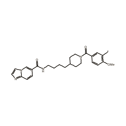 COc1ccc(C(=O)N2CCC(CCCCNC(=O)c3ccc4nccn4c3)CC2)cc1F